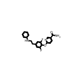 NC(=O)c1ccc(Oc2c(F)cc(CCNc3ccccc3)cc2F)nc1